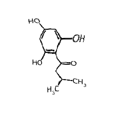 CC(C)CC(=O)c1c(O)cc(O)cc1O